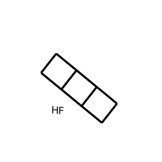 C12C3C4C1C1C2C3C41.F